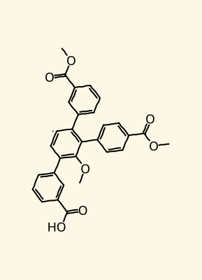 COC(=O)c1ccc(-c2c(-c3cccc(C(=O)OC)c3)[c]cc(-c3cccc(C(=O)O)c3)c2OC)cc1